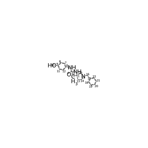 CC1(NC(=O)Nc2ccc(O)cc2)CCN(Cc2ccccc2)C1